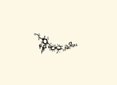 CCCc1ccc(COc2ccc3c(c2)CCC(CN2CC(C(=O)O)C2)=C3C)c(OC(F)F)c1